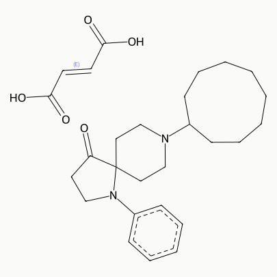 O=C(O)/C=C/C(=O)O.O=C1CCN(c2ccccc2)C12CCN(C1CCCCCCCC1)CC2